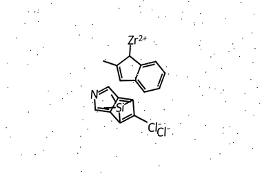 CC1=C2C3=CN=CC3=C1[Si]2(C)C.CC1=Cc2ccccc2[CH]1[Zr+2].[Cl-].[Cl-]